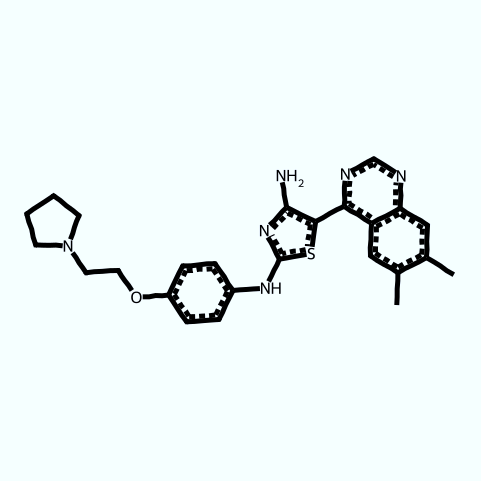 Cc1cc2ncnc(-c3sc(Nc4ccc(OCCN5CCCC5)cc4)nc3N)c2cc1C